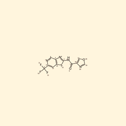 O=C(Nc1nc2cnc(C(F)(F)F)cc2s1)c1cocn1